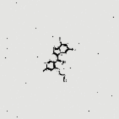 CCSCNc1cc(C)ncc1C(=N)c1cnc2c(F)cc(F)cn12